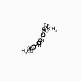 CC(OC(=O)N1CCC([C@H]2Cc3cc(C4=CCN(S(C)(=O)=O)CC4)ncc3O2)CC1)C(F)(F)F